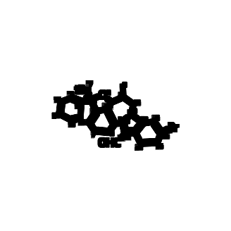 CC(CO[Si](c1ccccc1)(c1ccccc1)C(C)(C)C)Cn1nc(C=O)c2ccc(Br)cc21